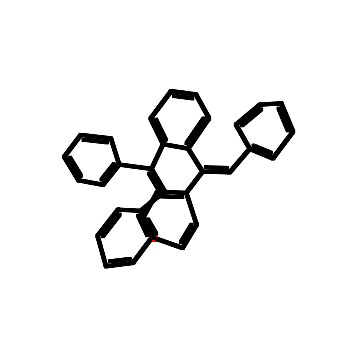 C(=C(c1ccccc1)c1ccccc1C(=Cc1ccccc1)c1ccccc1)c1ccccc1